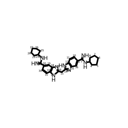 N=C(NC1CCCCC1)c1ccc2[nH]c(Cc3nc4cc(C(=N)NC5CCCCC5)ccc4[nH]3)nc2c1